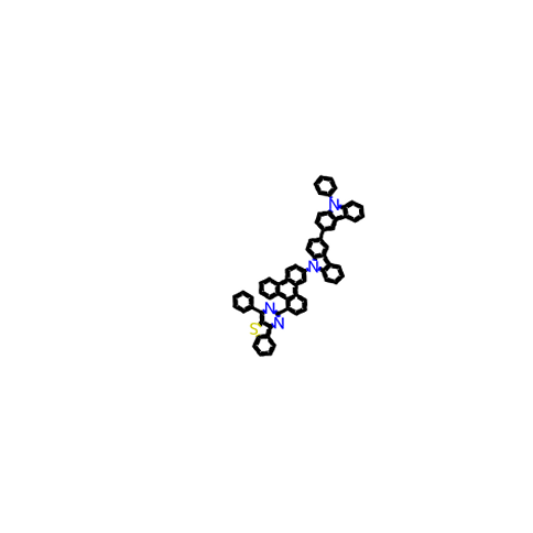 c1ccc(-c2nc(-c3cccc4c5cc(-n6c7ccccc7c7cc(-c8ccc9c(c8)c8ccccc8n9-c8ccccc8)ccc76)ccc5c5ccccc5c34)nc3c2sc2ccccc23)cc1